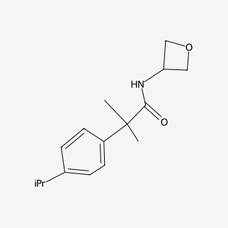 CC(C)c1ccc(C(C)(C)C(=O)NC2COC2)cc1